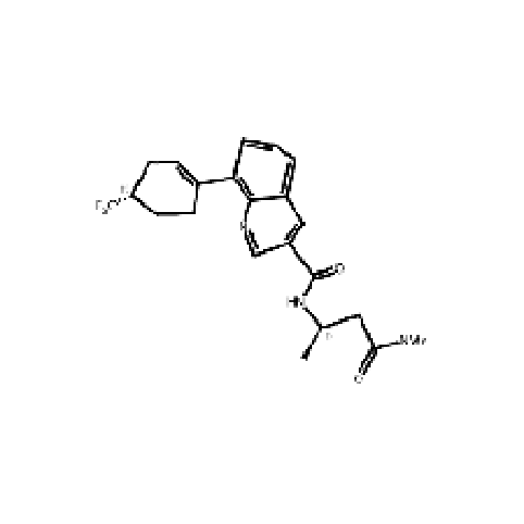 CNC(=O)C[C@@H](C)NC(=O)c1cnc2c(C3=CC[C@@H](C(F)(F)F)CC3)cccc2c1